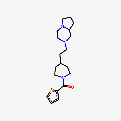 O=C(c1cccs1)N1CCC(CCN2CCN3CCCC3C2)CC1